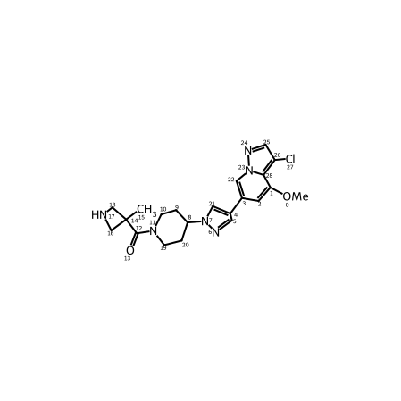 COc1cc(-c2cnn(C3CCN(C(=O)C4(C)CNC4)CC3)c2)cn2ncc(Cl)c12